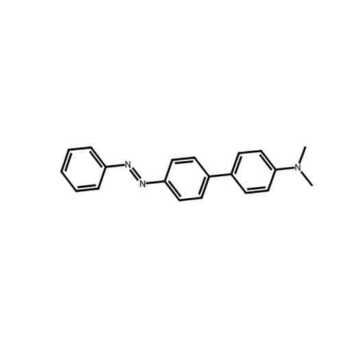 CN(C)c1ccc(-c2ccc(/N=N/c3ccccc3)cc2)cc1